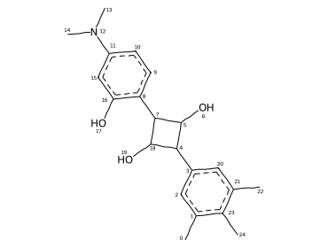 Cc1cc(C2C(O)C(c3ccc(N(C)C)cc3O)C2O)cc(C)c1C